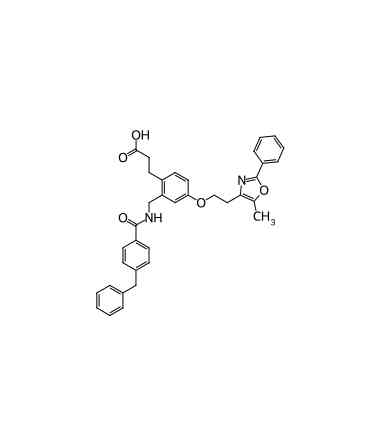 Cc1oc(-c2ccccc2)nc1CCOc1ccc(CCC(=O)O)c(CNC(=O)c2ccc(Cc3ccccc3)cc2)c1